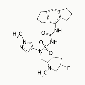 CN1CC(F)CCC1CN(c1cnn(C)c1)S(=O)(=O)NC(=O)Nc1c2c(cc3c1CCC3)CCC2